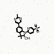 Cc1ncc(-c2ccc3c(c2)N(c2ccc(S(C)(=O)=O)cn2)C(O)C3(C)C)cn1